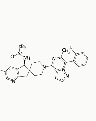 Cc1nc(N2CCC3(CC2)Cc2ncc(C#N)cc2[C@H]3N[S+]([O-])C(C)(C)C)c2ccnn2c1-c1ccccc1F